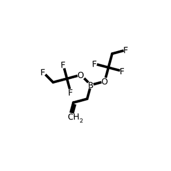 C=CCB(OC(F)(F)CF)OC(F)(F)CF